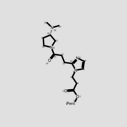 CCCC(C)OC(=O)CCn1ccnc1CCC(=O)N1CC[C@H](N(C)C)C1